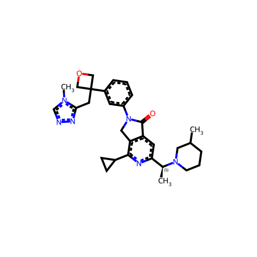 CC1CCCN([C@@H](C)c2cc3c(c(C4CC4)n2)CN(c2cccc(C4(Cc5nncn5C)COC4)c2)C3=O)C1